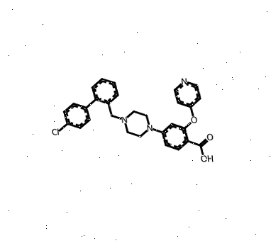 O=C(O)c1ccc(N2CCN(Cc3ccccc3-c3ccc(Cl)cc3)CC2)cc1Oc1ccncc1